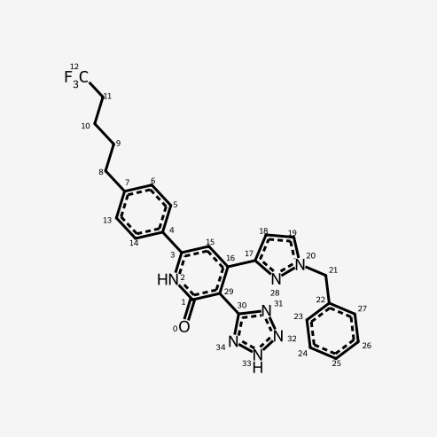 O=c1[nH]c(-c2ccc(CCCCC(F)(F)F)cc2)cc(-c2ccn(Cc3ccccc3)n2)c1-c1nn[nH]n1